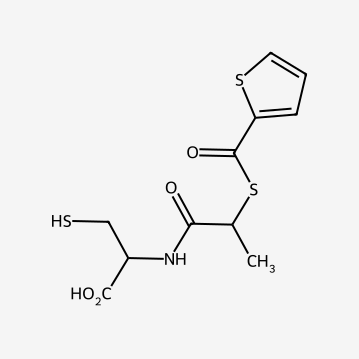 CC(SC(=O)c1cccs1)C(=O)NC(CS)C(=O)O